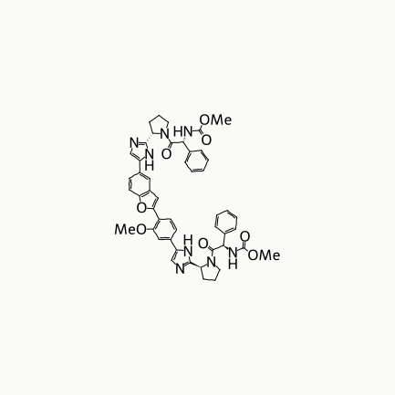 COC(=O)N[C@@H](C(=O)N1CCC[C@H]1c1ncc(-c2ccc(-c3cc4cc(-c5cnc([C@@H]6CCCN6C(=O)[C@H](NC(=O)OC)c6ccccc6)[nH]5)ccc4o3)c(OC)c2)[nH]1)c1ccccc1